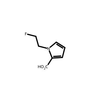 O=C(O)c1cccn1CCF